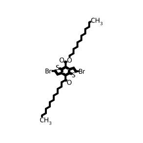 CCCCCCCCCCCCOC(=O)c1c2cc(Br)sc2c(C(=O)CCCCCCCCCCCC)c2cc(Br)sc12